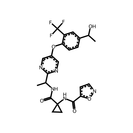 CC(O)c1ccc(Oc2cnc(C(C)NC(=O)C3(NC(=O)c4ccno4)CC3)nc2)c(C(F)(F)F)c1